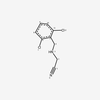 N#CCNCc1c(Cl)cccc1Cl